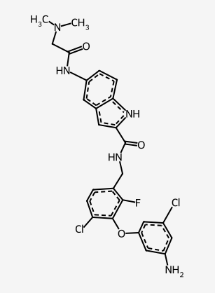 CN(C)CC(=O)Nc1ccc2[nH]c(C(=O)NCc3ccc(Cl)c(Oc4cc(N)cc(Cl)c4)c3F)cc2c1